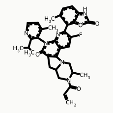 C=CC(=O)N1CC2Cc3c(c4cc(F)c(-c5c(C)ccc6[nH]c(=O)oc56)nc4n(-c4c(C)ccnc4C(C)C)c3=O)N2CC1C